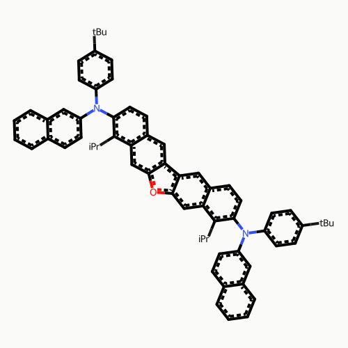 CC(C)c1c(N(c2ccc(C(C)(C)C)cc2)c2ccc3ccccc3c2)ccc2cc3c(cc12)oc1cc2c(C(C)C)c(N(c4ccc(C(C)(C)C)cc4)c4ccc5ccccc5c4)ccc2cc13